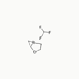 C1CN2CC2O1.FC(F)F